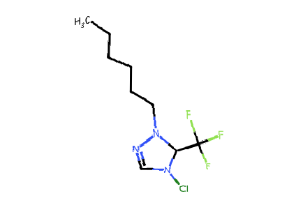 CCCCCCN1N=CN(Cl)C1C(F)(F)F